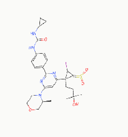 C[C@H]1COCCN1c1cc(C2(CCC(C)(C)O)C(=S(=O)=O)C2I)nc(-c2ccc(NC(=O)NC3CC3)cc2)n1